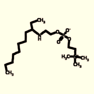 CCCCCCCCC(CC)NCCOP(=O)([O-])OCC[N+](C)(C)C